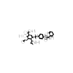 O=CCc1c(O)c(C(=O)O)cc(N=Nc2ccc(S(=O)(=O)Nc3ccccn3)cc2)c1C1CCN1